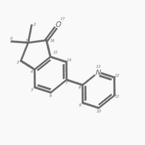 CC1(C)Cc2ccc(-c3ccccn3)cc2C1=O